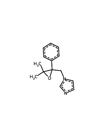 CC1(C)OC1(Cn1ccnc1)c1ccccc1